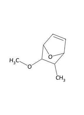 COC1C2C=CC(O2)C1C